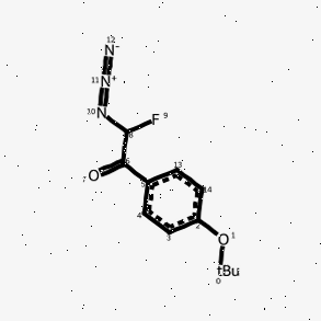 CC(C)(C)Oc1ccc(C(=O)C(F)N=[N+]=[N-])cc1